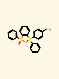 Cc1ccc(S(OS(=O)(=O)c2ccccc2)(c2ccccc2)c2ccccc2)cc1